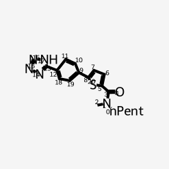 CCCCCN(C)C(=O)c1ccc(-c2ccc(-c3nnn[nH]3)cc2)s1